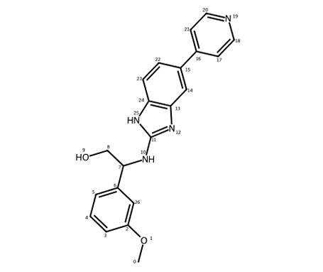 COc1cccc(C(CO)Nc2nc3cc(-c4ccncc4)ccc3[nH]2)c1